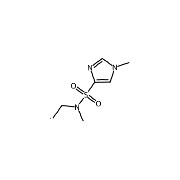 [CH2]CN(C)S(=O)(=O)c1cn(C)cn1